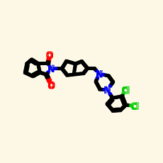 O=C1c2ccccc2C(=O)N1C1CC2CC(CN3CCN(c4cccc(Cl)c4Cl)CC3)CC2C1